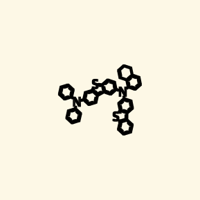 C1=Cc2c(cccc2N(c2ccc3c(c2)sc2ccccc23)c2ccc3sc4cc(N(c5ccccc5)c5ccccc5)ccc4c3c2)CC1